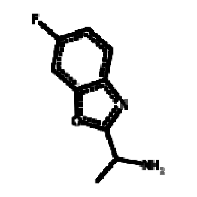 CC(N)c1nc2ccc(F)cc2o1